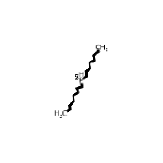 CCCCCCCC[PH](=S)CCCCCCCC